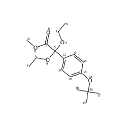 CCOC(OCC)(C(=O)OC)c1ccc(OC(C)(C)C)cc1